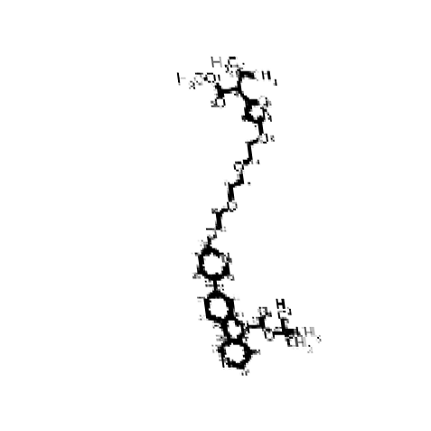 COC(=O)C(c1cc(OCCOCCOCCOc2ccc(-c3ccc4c5cnccc5n(C(=O)OC(C)(C)C)c4c3)cn2)no1)C(C)C